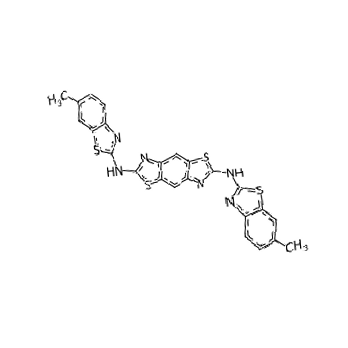 Cc1ccc2nc(Nc3nc4cc5sc(Nc6nc7ccc(C)cc7s6)nc5cc4s3)sc2c1